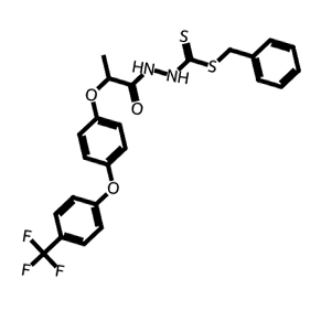 CC(Oc1ccc(Oc2ccc(C(F)(F)F)cc2)cc1)C(=O)NNC(=S)SCc1ccccc1